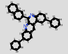 c1ccc(-c2ccc3cc4c(nc3c2)c(-c2ccc3ccccc3c2)nc2ccc(-c3ccccc3)cc24)cc1